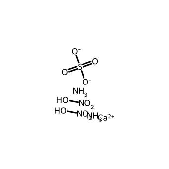 N.N.O=S(=O)([O-])[O-].O=[N+]([O-])O.O=[N+]([O-])O.[Ca+2]